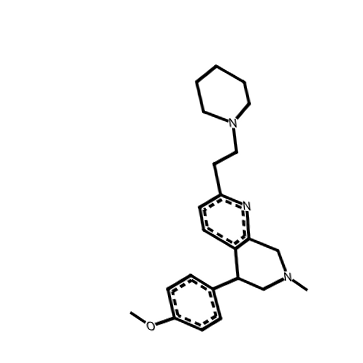 COc1ccc(C2CN(C)Cc3nc(CCN4CCCCC4)ccc32)cc1